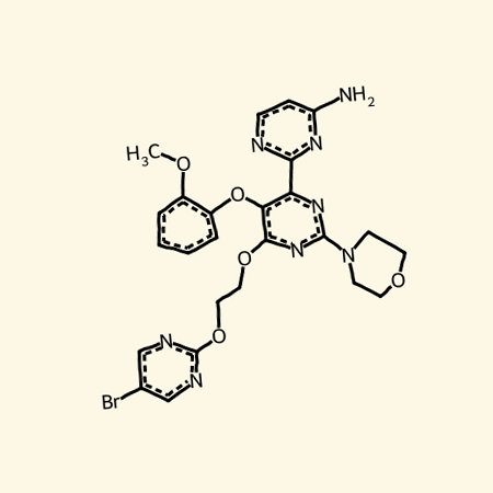 COc1ccccc1Oc1c(OCCOc2ncc(Br)cn2)nc(N2CCOCC2)nc1-c1nccc(N)n1